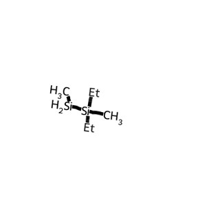 CC[Si](C)(CC)[SiH2]C